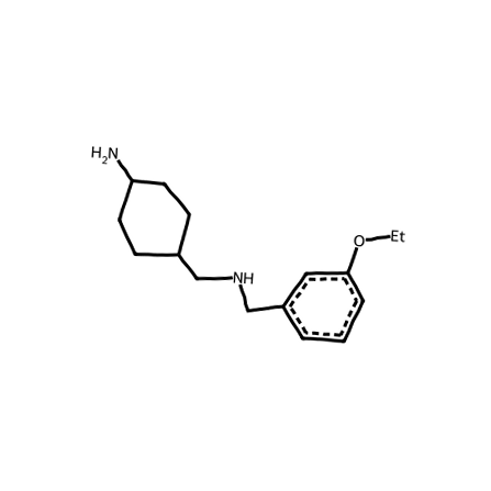 CCOc1cccc(CNCC2CCC(N)CC2)c1